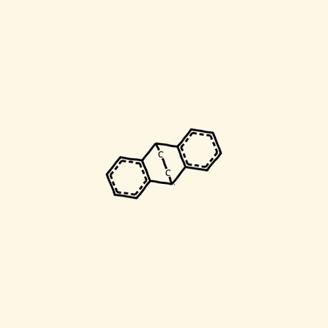 c1ccc2c(c1)[C]1CCC2c2ccccc21